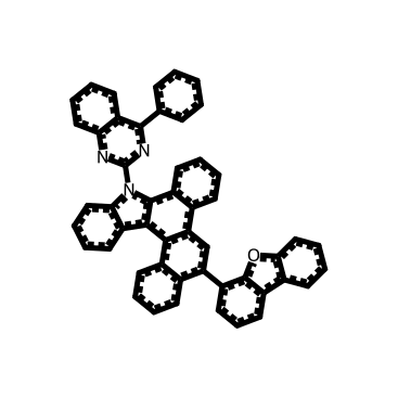 c1ccc(-c2nc(-n3c4ccccc4c4c5c6ccccc6c(-c6cccc7c6oc6ccccc67)cc5c5ccccc5c43)nc3ccccc23)cc1